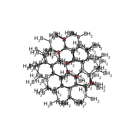 BBB(B)B(B(B(B)B)B(B)B)B(B(B(B(B)B)B(B)B)B(B(B)B)B(B)B)B(B(B(B(B(B)B)B(B)B)B(B(B)B)B(B)B)B(B(B(B)B)B(B)B)B(B(B)B)B(B)B)B(B(B(B(B(B)B)B(B)B)B(B(B)B)B(B)B)B(B(B(B)B)B(B)B)B(B(B)B)B(B)B)B(B(B(B(B)B)B(B)B)B(B(B)B)B(B)B)B(B(B(B)B)B(B)B)B(B(B)B)B(B)B